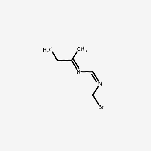 CC/C(C)=N/C=N\CBr